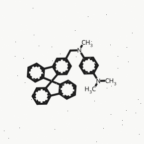 CN(C)c1ccc(N(C)Cc2ccc3c(c2)-c2ccccc2C32c3ccccc3-c3ccccc32)cc1